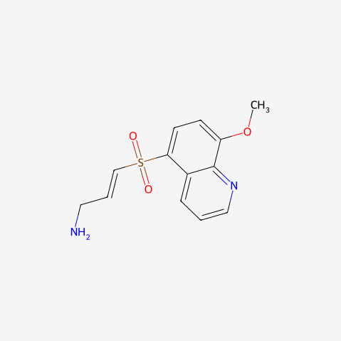 COc1ccc(S(=O)(=O)C=CCN)c2cccnc12